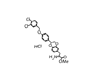 COC(=O)[C@@H](N)Cc1ccc2c(c1)OCC(c1ccc(OCc3ccc(Cl)c(Cl)c3)cc1)O2.Cl